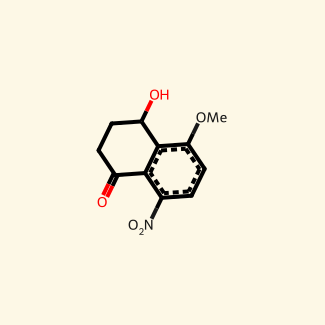 COc1ccc([N+](=O)[O-])c2c1C(O)CCC2=O